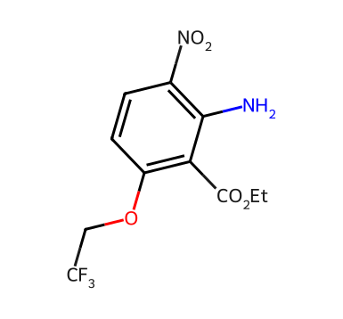 CCOC(=O)c1c(OCC(F)(F)F)ccc([N+](=O)[O-])c1N